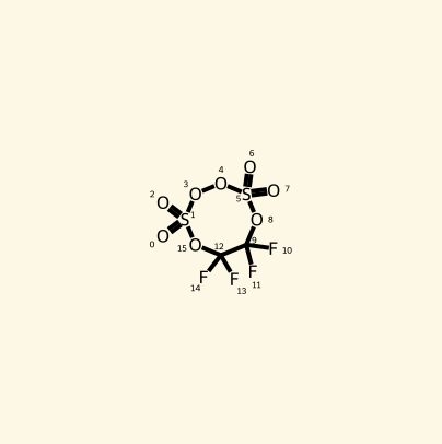 O=S1(=O)OOS(=O)(=O)OC(F)(F)C(F)(F)O1